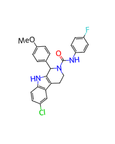 COc1ccc(C2c3[nH]c4ccc(Cl)cc4c3CCN2C(=O)Nc2ccc(F)cc2)cc1